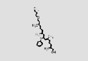 CCCCOC/C=C(\C)CC/C=C(\C)CC(/C=C(\C)CC/C=C(\C)CO)Sc1ccccc1